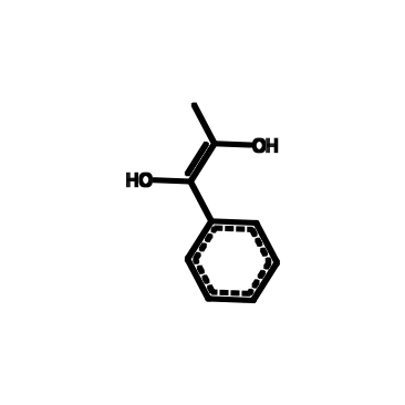 CC(O)=C(O)c1ccccc1